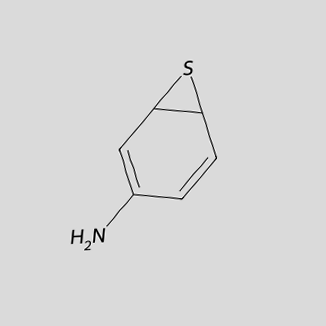 NC1=CC2SC2C=C1